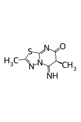 CC1=NN2C(=N)[C@H](C)C(=O)N=C2S1